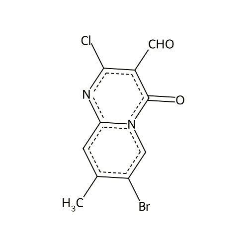 Cc1cc2nc(Cl)c(C=O)c(=O)n2cc1Br